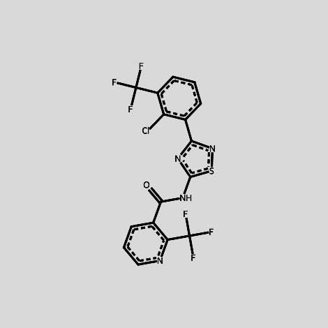 O=C(Nc1nc(-c2cccc(C(F)(F)F)c2Cl)ns1)c1cccnc1C(F)(F)F